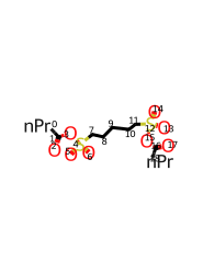 CCCC(=O)OS(=O)(=O)CCCCCS(=O)(=O)OC(=O)CCC